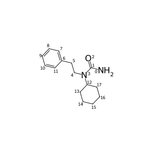 NC(=O)N(CCc1ccccc1)C1CCCCC1